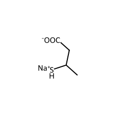 CC(S)CC(=O)[O-].[Na+]